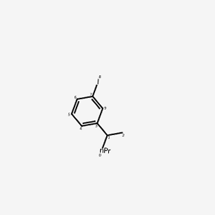 [CH2]CCC(C)c1cccc(I)c1